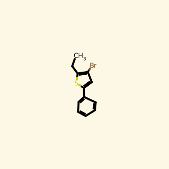 CCc1sc(-c2ccccc2)cc1Br